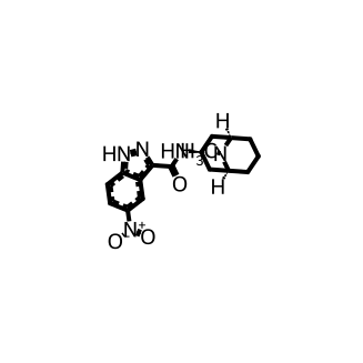 CN1[C@@H]2CCC[C@H]1C[C@@H](NC(=O)c1n[nH]c3ccc([N+](=O)[O-])cc13)C2